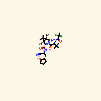 CC(F)(F)C(=O)NC(C(=O)N1C[C@H]2[C@@H]([C@H]1C(=O)NC(C#N)C[C@@H]1CCCC1=O)C2(C)C)C(C)(C)C